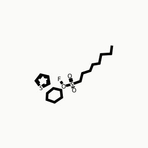 C1CCCCC1.CCCCCCCCS(=O)(=O)OF.c1ccsc1